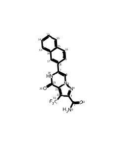 NC(=O)c1nn2cc(-c3ccc4ccccc4c3)[nH]c(=O)c2c1C(F)(F)F